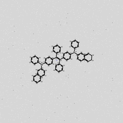 C1=c2ccc(N(c3ccccc3)c3ccc(/C(=C(\c4ccccc4)c4ccc(N(c5ccccc5)c5ccc6ccccc6c5)cc4)c4ccccc4)cc3)cc2=CCC1